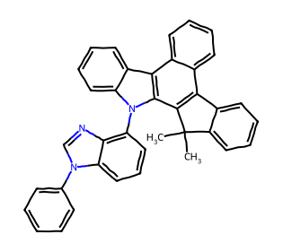 CC1(C)c2ccccc2-c2c1c1c(c3ccccc23)c2ccccc2n1-c1cccc2c1ncn2-c1ccccc1